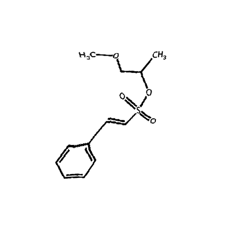 COCC(C)OS(=O)(=O)C=Cc1ccccc1